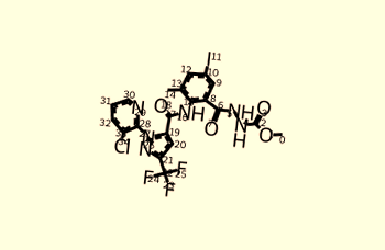 COC(=O)NNC(=O)c1cc(I)cc(C)c1NC(=O)c1cc(C(F)(F)F)nn1-c1ncccc1Cl